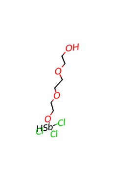 OCCOCCOCC[O][SbH]([Cl])([Cl])[Cl]